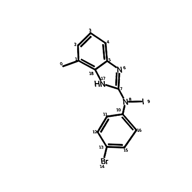 Cc1cccc2nc(N(I)c3ccc(Br)cc3)[nH]c12